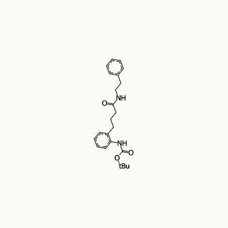 CC(C)(C)OC(=O)Nc1ccccc1CCCC(=O)NCCc1ccccc1